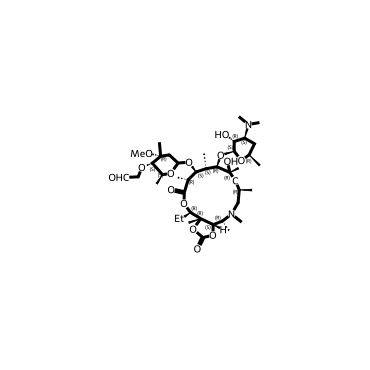 CC[C@H]1OC(=O)[C@H](C)[C@@H](OC2C[C@@](C)(OC)[C@@H](OCC=O)[C@H](C)O2)[C@H](C)[C@@H](O[C@@H]2O[C@H](C)C[C@H](N(C)C)[C@H]2O)[C@](C)(O)C[C@@H](C)CN(C)[C@H](C)[C@@H]2OC(=O)O[C@]12C